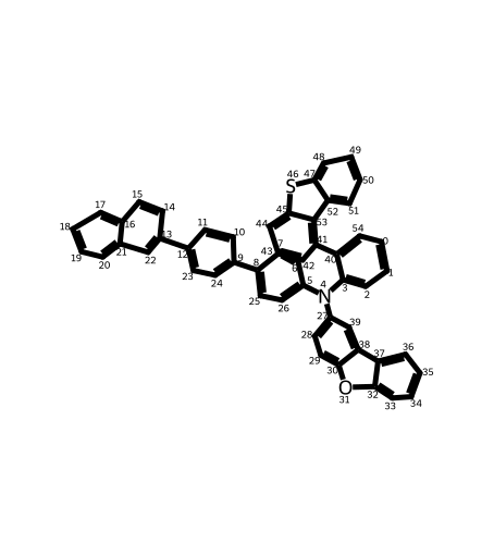 c1ccc(N(c2ccc(-c3ccc(-c4ccc5ccccc5c4)cc3)cc2)c2ccc3oc4ccccc4c3c2)c(-c2cccc3sc4ccccc4c23)c1